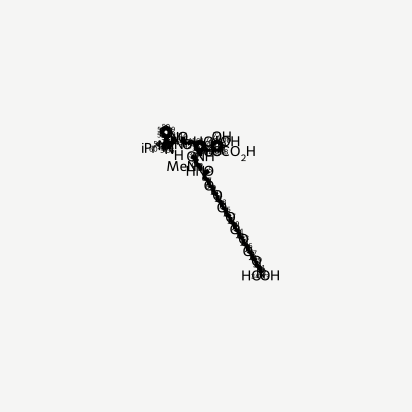 CNC(CNC(=O)CCOCCOCCOCCOCCOCCOCCOCCOCCN(O)O)C(=O)Nc1cc(COC(=O)Nc2nc3ccccc3c3c2ncn3CC(C)C)ccc1O[C@@H]1O[C@H](C(=O)O)[C@@H](O)[C@H](O)[C@H]1O